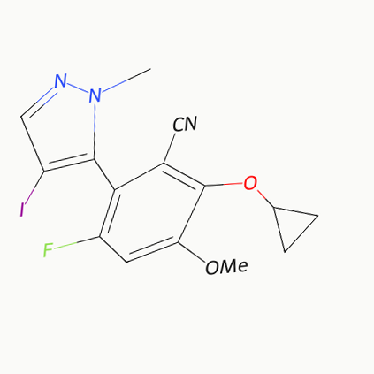 COc1cc(F)c(-c2c(I)cnn2C)c(C#N)c1OC1CC1